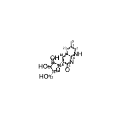 Cc1c[nH]c2nc(=O)c([C@@H]3O[C@H](CO)C(O)[C@@H]3O)cc-2c1